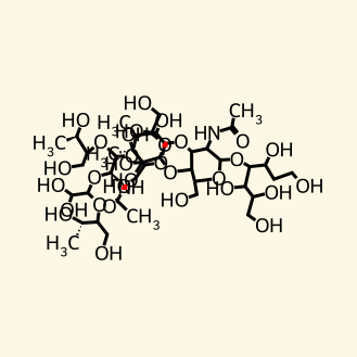 CC(=O)NC1C(OC(C(O)CCO)C(O)C(O)CO)OC(CO)C(OC(OC(CO)[C@H](C)OC(OC(CO)[C@@H](C)O)[C@@H](NC(C)=O)OC(OC(CO)[C@H](C)O)C(O)O)C(O)O)C1OC(OC(CO)[C@H](C)O)C(O)O